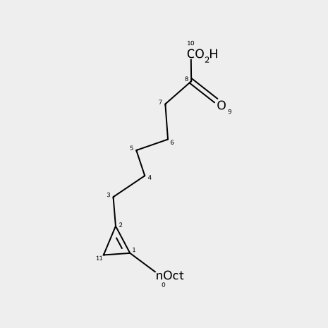 CCCCCCCCC1=C(CCCCCC(=O)C(=O)O)C1